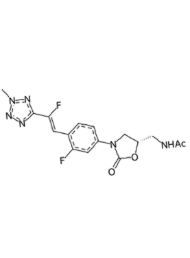 CC(=O)NC[C@H]1CN(c2ccc(/C=C(\F)c3nnn(C)n3)c(F)c2)C(=O)O1